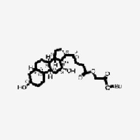 CCC(C)OC(=O)COC(=O)CC[C@@H](C)[C@H]1CC[C@H]2[C@@H]3CC[C@@H]4C[C@H](O)CC[C@]4(C)[C@H]3C[C@H](O)[C@]12C